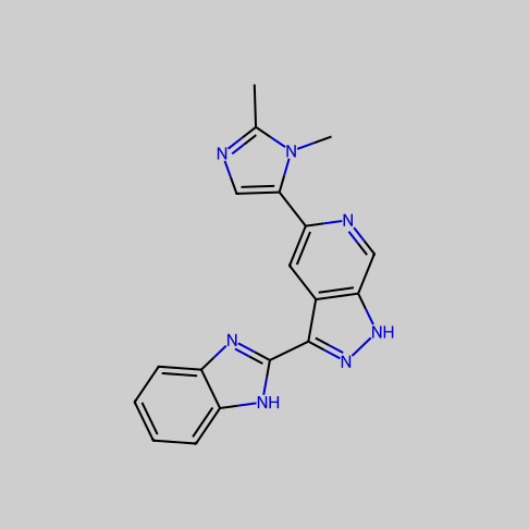 Cc1ncc(-c2cc3c(-c4nc5ccccc5[nH]4)n[nH]c3cn2)n1C